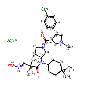 CC1(C)CCC(N(C(=O)C(C)(C)/C=N/O)[C@H]2CCN(C(=O)[C@@H]3CN(C(C)(C)C)C[C@H]3c3ccc(Cl)cc3)C2)CC1.Cl